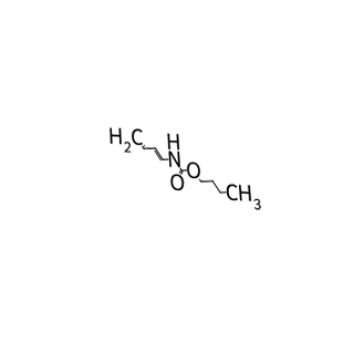 C=C/C=C/NC(=O)OCCCC